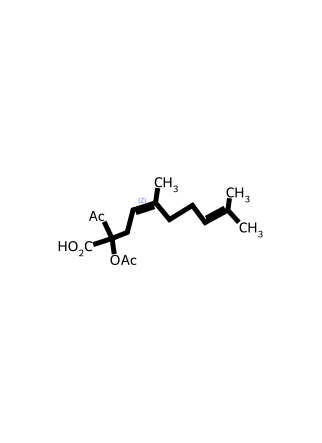 CC(=O)OC(C/C=C(/C)CCC=C(C)C)(C(C)=O)C(=O)O